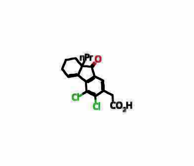 CCCC12CCCC=C1c1c(cc(CC(=O)O)c(Cl)c1Cl)C2=O